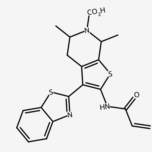 C=CC(=O)Nc1sc2c(c1-c1nc3ccccc3s1)CC(C)N(C(=O)O)C2C